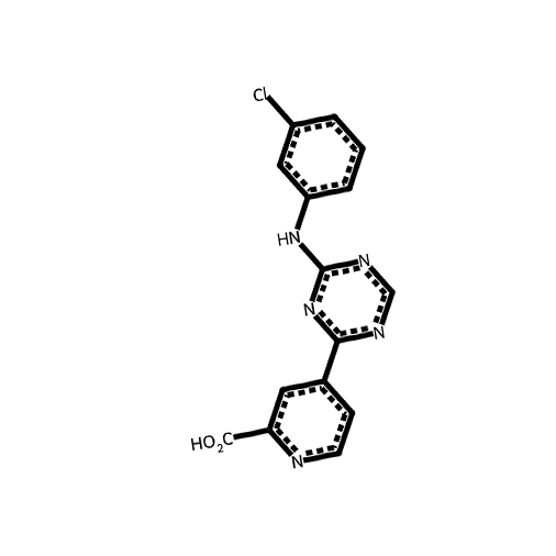 O=C(O)c1cc(-c2ncnc(Nc3cccc(Cl)c3)n2)ccn1